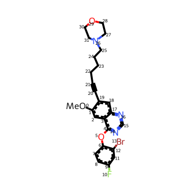 COc1cc2c(Oc3ccc(F)cc3Br)ncnc2cc1C#CCCCCN1CCOCC1